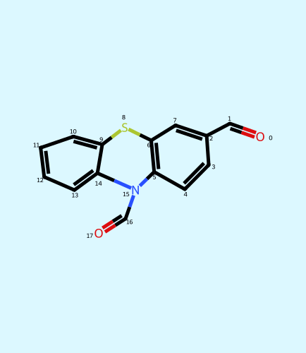 O=Cc1ccc2c(c1)Sc1ccccc1N2C=O